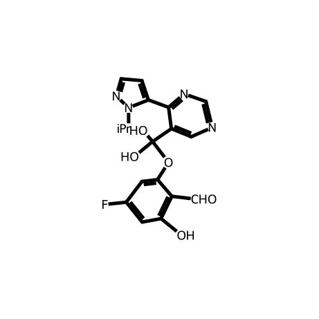 CC(C)n1nccc1-c1ncncc1C(O)(O)Oc1cc(F)cc(O)c1C=O